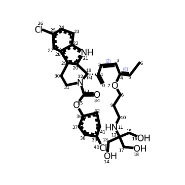 C=C(/C=C\C(=C/C)OCCCNC(CO)(CO)CO)[C@H]1c2[nH]c3ccc(Cl)cc3c2CCN1C(=O)Oc1ccc(Cl)cc1